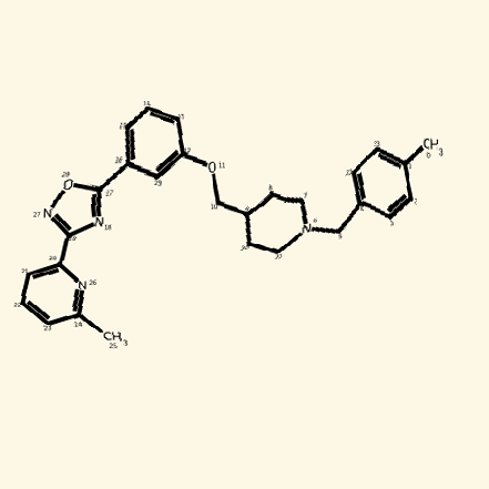 Cc1ccc(CN2CCC(COc3cccc(-c4nc(-c5cccc(C)n5)no4)c3)CC2)cc1